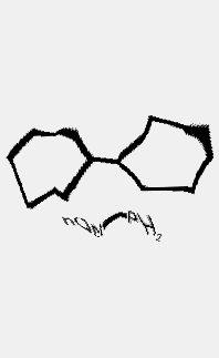 C1CCC(C2CCCCC2)CC1.CCCCCCCCP